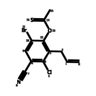 C=CCc1c(Cl)c(C#N)cc(Br)c1OC(C)=S